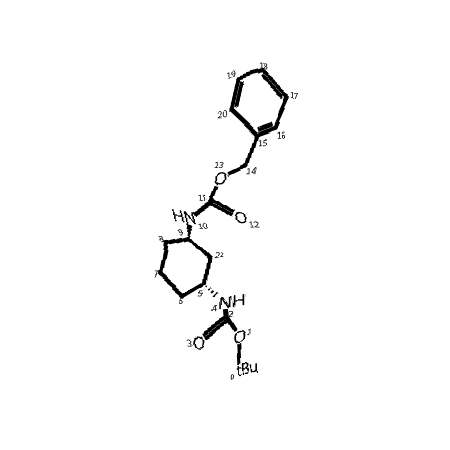 CC(C)(C)OC(=O)N[C@@H]1CCC[C@@H](NC(=O)OCc2ccccc2)C1